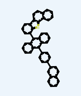 c1ccc2cc(-c3ccc(-c4c5ccccc5c(-c5cccc6c5sc5c7ccccc7ccc65)c5ccccc45)cc3)ccc2c1